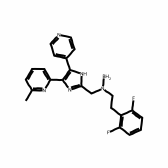 BN(CCc1c(F)cccc1F)Cc1nc(-c2cccc(C)n2)c(-c2ccncc2)[nH]1